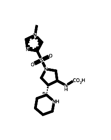 Cn1cnc(S(=O)(=O)N2CC(NC(=O)O)C([C@H]3CCCCN3)C2)c1